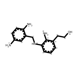 Nc1ccc(N)c(CNc2cccc(CCO)c2N)c1